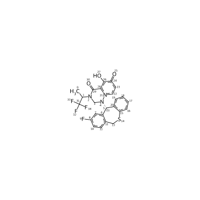 CC(N1CN([C@H]2c3cc(F)ccc3CSc3ccccc32)n2ccc(=O)c(O)c2C1=O)C(F)(F)F